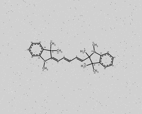 CN1/C(=C/C=C/C=C/C2(C)N(C)c3ccccc3C2(C)C)C(C)(C)c2ccccc21